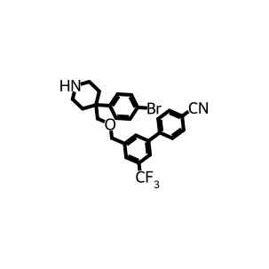 N#Cc1ccc(-c2cc(COCC3(c4ccc(Br)cc4)CCNCC3)cc(C(F)(F)F)c2)cc1